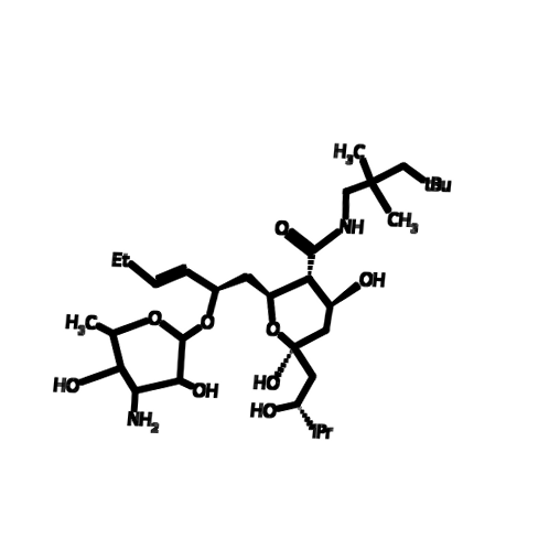 CC/C=C/[C@@H](C[C@@H]1O[C@](O)(C[C@@H](O)C(C)C)C[C@H](O)[C@H]1C(=O)NCC(C)(C)CC(C)(C)C)OC1OC(C)C(O)C(N)C1O